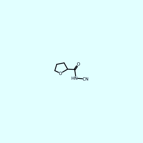 N#CNC(=O)C1CCCO1